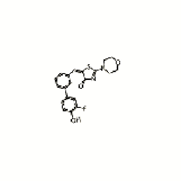 O=C1N=C(N2CCOCC2)S/C1=C/c1cccc(-c2ccc(O)c(F)c2)c1